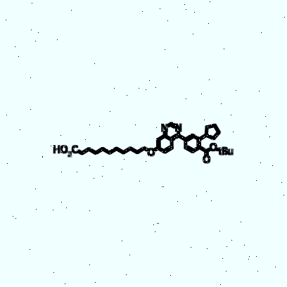 CC(C)(C)OC(=O)c1ccc(-c2ncnc3cc(OCCCCCCCCCCC(=O)O)ccc23)cc1C1CCCC1